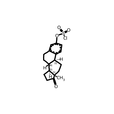 C[C@]12CC[C@@H]3c4ccc(OS(=O)(=O)Cl)cc4CC[C@H]3[C@@H]1CCC2=O